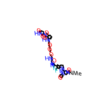 CNC(=O)N1CCc2c(c(N3CCCc4cc(-c5cnn(CC(=O)NCCOCCOCCOCCNc6cccc7c6C(=O)N(C6CCC(=O)NC6=O)C7=O)c5)c(C(F)F)cc43)nn2C2CCOCC2)C1